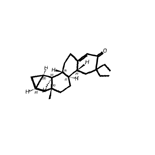 CCC1(CC)C[C@H]2C(=CC1=O)CC[C@@H]1[C@@H]2CC[C@]2(C)C[C@H]3C[C@H]3[C@@H]12